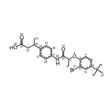 CC(Oc1ccc(C(C)(C)C)cc1Br)C(=O)Nc1ccc(C(C)CC(=O)O)cc1